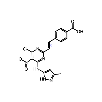 Cc1cc(Nc2nc(/C=C/c3ccc(C(=O)O)cc3)nc(Cl)c2[N+](=O)[O-])[nH]n1